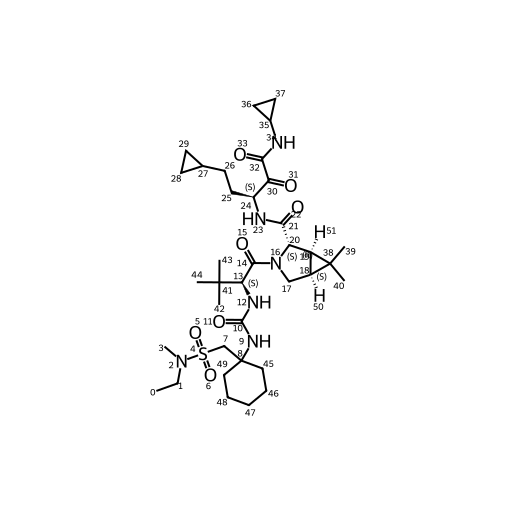 CCN(C)S(=O)(=O)CC1(NC(=O)N[C@H](C(=O)N2C[C@H]3[C@@H]([C@H]2C(=O)N[C@@H](CCC2CC2)C(=O)C(=O)NC2CC2)C3(C)C)C(C)(C)C)CCCCC1